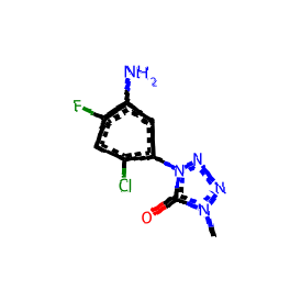 Cn1nnn(-c2cc(N)c(F)cc2Cl)c1=O